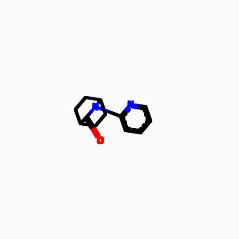 O=C1C2CCC(CC2)N1c1ccccn1